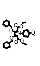 CCOC(=O)c1c(OCc2ccccc2)c(OCc2ccccc2)c(C(=O)OCC)n1-c1ccc(OC)cc1